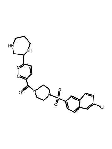 O=C(c1ccc(C2CNCCCN2)nn1)N1CCN(S(=O)(=O)c2ccc3cc(Cl)ccc3c2)CC1